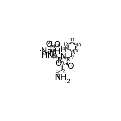 NCC=CC(=O)[C@H](Cc1ccccc1)NC(=O)[C@H]1N[C@@H]1C(=O)O.[Na]